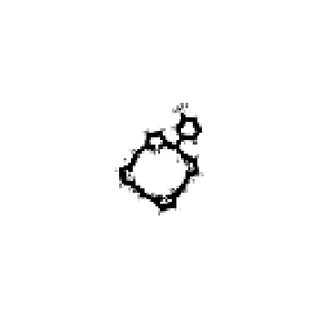 Sc1cccc(-c2c3nc(cc4ccc(cc5nc(cc6ccc2[nH]6)C=C5)[nH]4)C=C3)c1